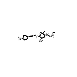 CCN(C)/C=N/c1cc(Br)c(OCC#Cc2ccc(OC)cc2)nc1C